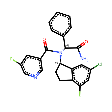 NC(=O)[C@@H](c1ccccc1)N(C(=O)c1cncc(F)c1)[C@@H]1CCc2c(F)cc(Cl)cc21